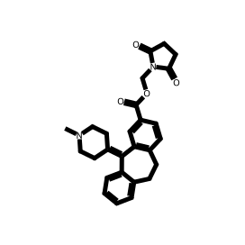 CN1CCC(=C2c3ccccc3CCc3ccc(C(=O)OCN4C(=O)CCC4=O)cc32)CC1